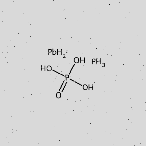 O=P(O)(O)O.P.[PbH2]